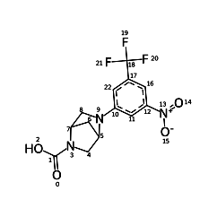 O=C(O)N1CC2CC1CN2c1cc([N+](=O)[O-])cc(C(F)(F)F)c1